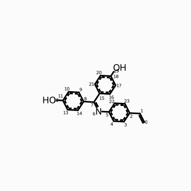 C=Cc1ccc(N=C(c2ccc(O)cc2)c2ccc(O)cc2)cc1